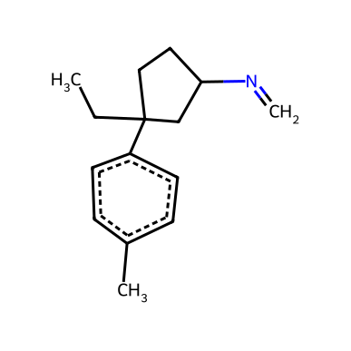 C=NC1CCC(CC)(c2ccc(C)cc2)C1